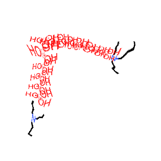 CCCCN(CCCC)CCCC.CCCCN(CCCC)CCCC.OB(O)O.OB(O)O.OB(O)O.OB(O)O.OB(O)O.OB(O)O.OB(O)O.OB(O)O.OB(O)O.OB(O)O.OB(O)O.OB(O)O